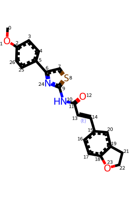 COc1ccc(-c2csc(NC(=O)/C=C/c3ccc4c(c3)CCO4)n2)cc1